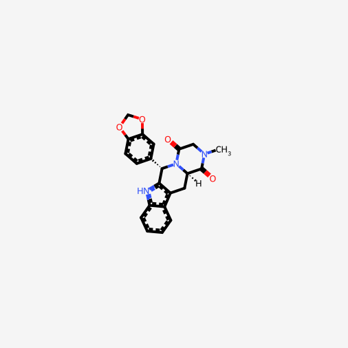 CN1CC(=O)N2[C@@H](c3ccc4c(c3)OCO4)c3[nH]c4ccccc4c3C[C@@H]2C1=O